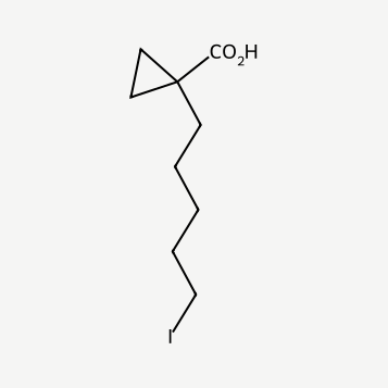 O=C(O)C1(CCCCCI)CC1